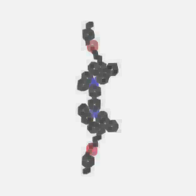 C=Cc1ccc(COCCCCCCC2(c3ccccc3)c3ccccc3-c3ccc(N(c4ccc(-c5ccc(N(c6ccc7c(c6)C(CCCCCCOCc6ccc(C=C)cc6)(c6ccccc6)c6ccccc6-7)c6cccc7ccccc67)cc5)cc4)c4cccc5ccccc45)cc32)cc1